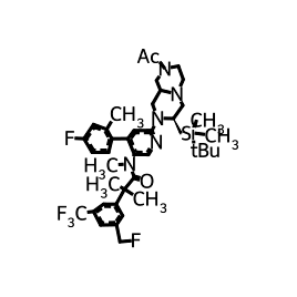 CC(=O)N1CCN2C[C@@H](C[Si](C)(C)C(C)(C)C)N(c3cc(-c4ccc(F)cc4C)c(N(C)C(=O)C(C)(C)c4cc(CF)cc(C(F)(F)F)c4)cn3)CC2C1